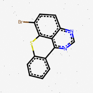 Brc1ccc2ncnc3c2c1Sc1ccccc1-3